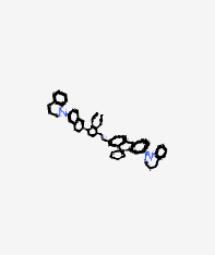 C=Cc1c(/C=C/c2ccc3c(c2)C2(CCCC2)c2cc(N4CCCc5ccccc54)ccc2-3)ccc(-c2ccc3cc(N4CCCc5ccccc54)ccc3c2)c1C=C